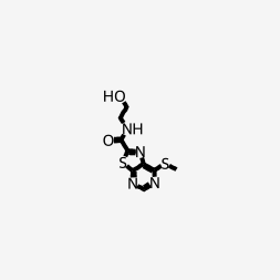 CSc1ncnc2sc(C(=O)NCCO)nc12